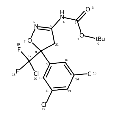 CC(C)(C)OC(=O)NC1=NOC(c2cc(Cl)cc(Cl)c2)(C(F)(F)Cl)C1